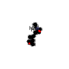 N=C(/N=C(\Nn1c2ccccc2c2cc(-c3ccc4c(c3)c3ccccc3n4-c3ccc4c(c3)C3(c5ccccc5-4)C4CC5CC(C4)CC3C5)ccc21)c1ccccc1)c1ccccc1